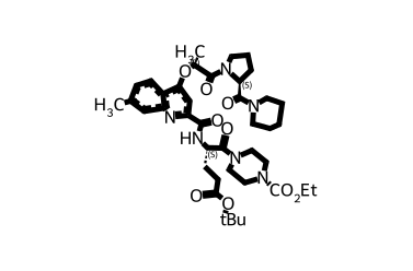 CCOC(=O)N1CCN(C(=O)[C@H](CCC(=O)OC(C)(C)C)NC(=O)c2cc(O[C@H](C)C(=O)N3CCC[C@H]3C(=O)N3CCCCC3)c3ccc(C)cc3n2)CC1